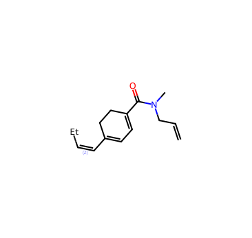 C=CCN(C)C(=O)C1=CC=C(/C=C\CC)CC1